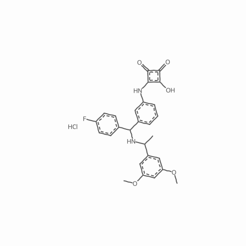 COc1cc(OC)cc(C(C)NC(c2ccc(F)cc2)c2cccc(Nc3c(O)c(=O)c3=O)c2)c1.Cl